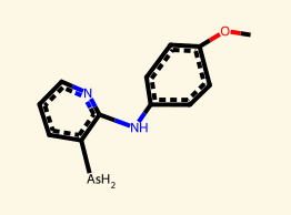 COc1ccc(Nc2ncccc2[AsH2])cc1